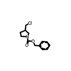 O=C(OCc1ccccc1)N1CCC(CCl)C1